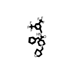 O=C(NCc1cc(C(F)(F)F)cc(C(F)(F)F)c1)C1(Cc2ccccc2)CCN(CC2CCOCC2)CC1